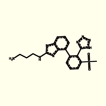 CS(=O)(=O)c1cccc(-c2cccc3sc(NCCCN)nc23)c1-c1nnn[nH]1